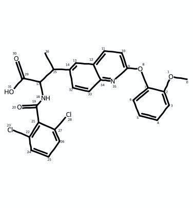 COc1ccccc1Oc1ccc2cc(C(C)C(NC(=O)c3c(Cl)cccc3Cl)C(=O)O)ccc2n1